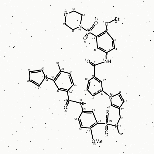 CCOc1ccc(NC(=O)c2cccc(-n3ccc(CN(C)S(=O)(=O)c4cc(NC(=O)c5ccc(C)c(-n6cccc6)c5)ccc4OC)c3)c2)cc1S(=O)(=O)N1CCOCC1